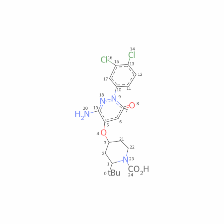 CC(C)(C)C1CC(Oc2cc(=O)n(-c3ccc(Cl)c(Cl)c3)nc2N)CCN1C(=O)O